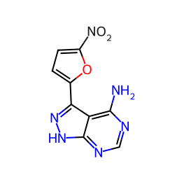 Nc1ncnc2[nH]nc(-c3ccc([N+](=O)[O-])o3)c12